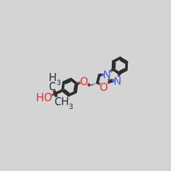 CC(C)(O)c1ccc(OC[C@@H]2Cn3c(nc4ccccc43)O2)cc1